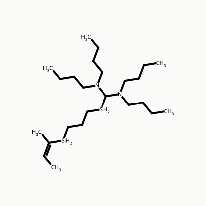 CC=C(C)[SiH2]CCC[SiH2]C(N(CCCC)CCCC)N(CCCC)CCCC